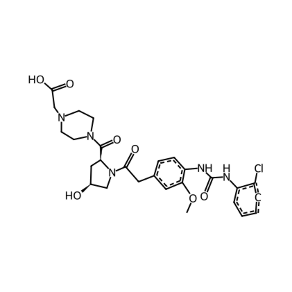 COc1cc(CC(=O)N2C[C@@H](O)C[C@H]2C(=O)N2CCN(CC(=O)O)CC2)ccc1NC(=O)Nc1ccccc1Cl